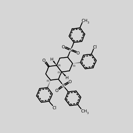 Cc1ccc(S(=O)(=O)C2C[C@H]3C(=O)C[C@@H](c4cccc(Cl)c4)C(S(=O)(=O)c4ccc(C)cc4)[C@H]3C[C@H]2c2cccc(Cl)c2)cc1